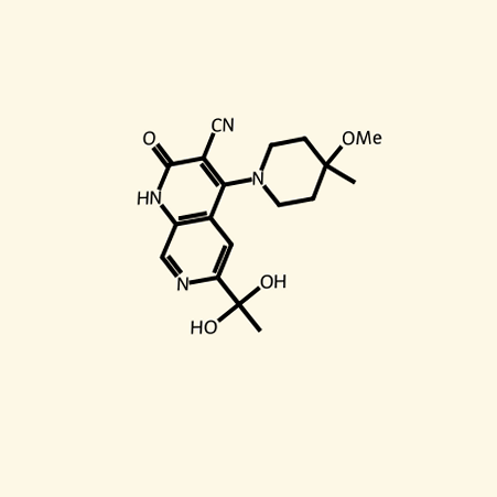 COC1(C)CCN(c2c(C#N)c(=O)[nH]c3cnc(C(C)(O)O)cc23)CC1